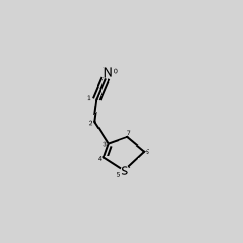 N#CCC1=CSCC1